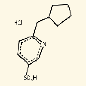 Cl.O=S(=O)(O)c1ccc(CC2CCCC2)nc1